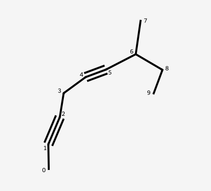 CC#CCC#CC(C)CC